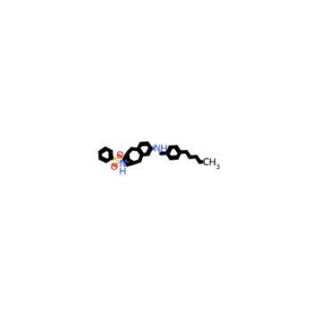 CCCCCc1ccc(CNc2ccc3c(c2)CC2CCC(C3)C2NS(=O)(=O)c2ccccc2)cc1